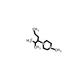 CCCC(C(C)C)N1CCN(C)CC1